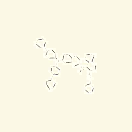 C=Nc1c(OCc2ccccc2)ccc2cccc(-c3ccc4cc(N(c5ccc(-c6ccccc6)cc5)c5ccc(-c6ccccc6)cc5)ccc4c3)c12